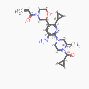 C=CC(=O)N1CCOC(c2cc(N)c(N3CCN(C(=O)C4CC4)[C@H](C)C3)nc2C2CC2)C1